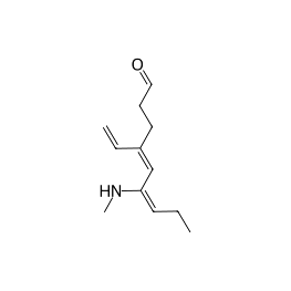 C=C/C(=C\C(=C/CC)NC)CCC=O